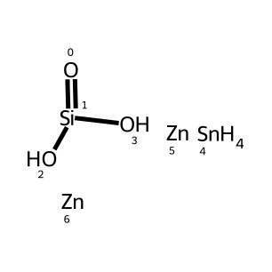 O=[Si](O)O.[SnH4].[Zn].[Zn]